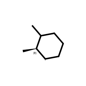 CC1CCC[CH][C@H]1C